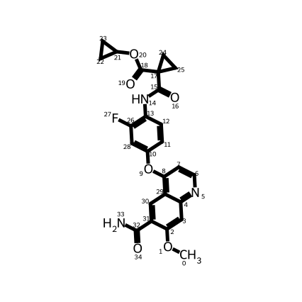 COc1cc2nccc(Oc3ccc(NC(=O)C4(C(=O)OC5CC5)CC4)c(F)c3)c2cc1C(N)=O